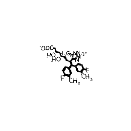 Cc1cc(C(=C(C=CC(O)CC(O)CC(=O)[O-])c2nnnn2C)c2ccc(F)c(C)c2)ccc1F.[Na+]